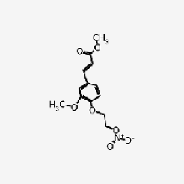 COC(=O)C=Cc1ccc(OCCO[N+](=O)[O-])c(OC)c1